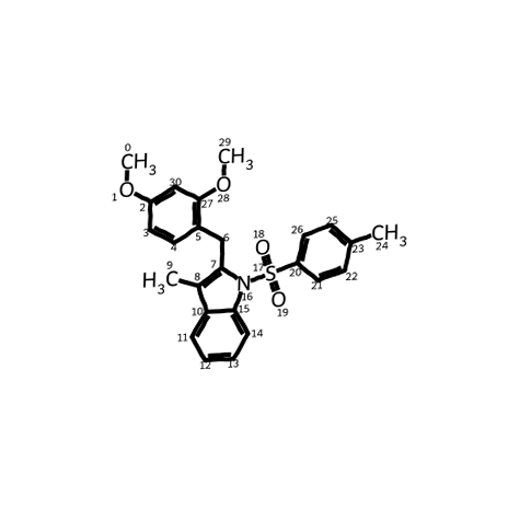 COc1ccc(Cc2c(C)c3ccccc3n2S(=O)(=O)c2ccc(C)cc2)c(OC)c1